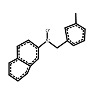 Cc1cccc(C[S+]([O-])c2ccc3ccccc3c2)c1